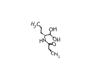 C=CC(=O)N[C@@H](CCC)C(O)O